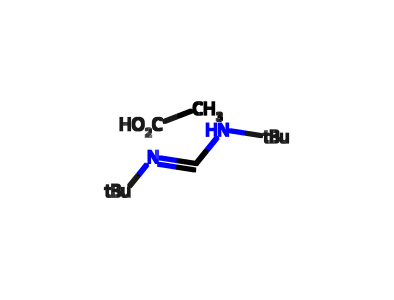 CC(=O)O.CC(C)(C)N=CNC(C)(C)C